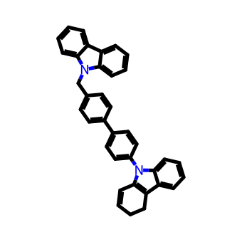 C1=Cc2c(c3ccccc3n2-c2ccc(-c3ccc(Cn4c5ccccc5c5ccccc54)cc3)cc2)CC1